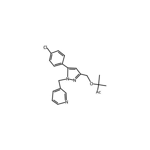 CC(=O)C(C)(C)OCc1cc(-c2ccc(Cl)cc2)n(Cc2cccnc2)n1